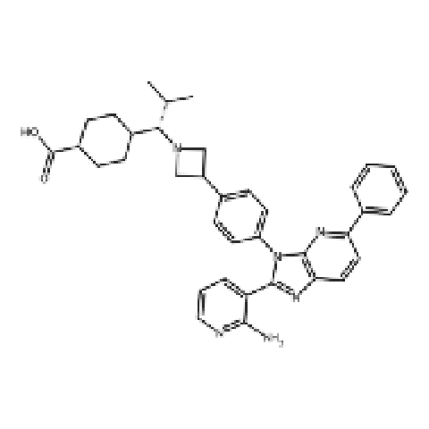 CC(C)[C@@H](C1CCC(C(=O)O)CC1)N1CC(c2ccc(-n3c(-c4cccnc4N)nc4ccc(-c5ccccc5)nc43)cc2)C1